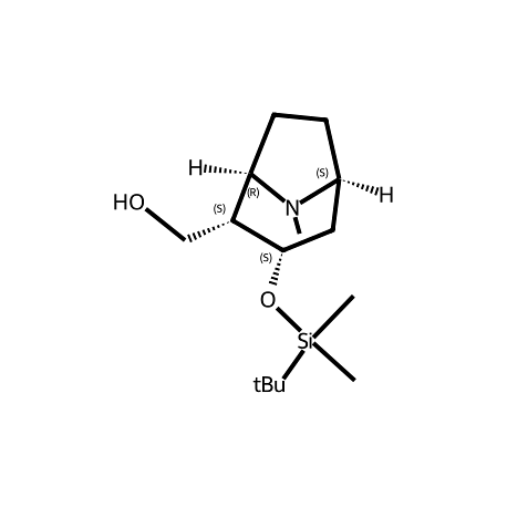 CN1[C@H]2CC[C@@H]1[C@@H](CO)[C@@H](O[Si](C)(C)C(C)(C)C)C2